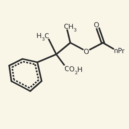 CCCC(=O)OC(C)C(C)(C(=O)O)c1ccccc1